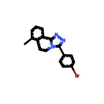 Cc1cccc2c1ccn1c(-c3ccc(Br)cc3)nnc21